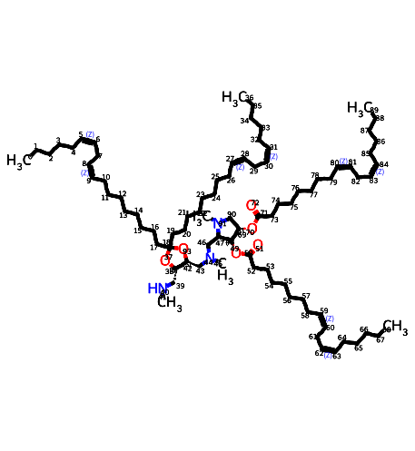 CCCCC/C=C\C/C=C\CCCCCCCCC1(CCCCCCCC/C=C\C/C=C\CCCCC)O[C@@H](CNC)[C@H](CN(C)CC2[C@@H](OC(=O)CCCCCCC/C=C\C/C=C\CCCCC)[C@@H](OC(=O)CCCCCCC/C=C\C/C=C\CCCCC)CN2C)O1